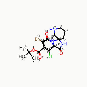 CC(C)(C)OC(=O)c1c(Cl)c2n(c(=O)c1Br)C1(CCCNC1)NC2=O